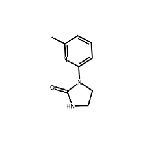 O=C1NCCN1c1cccc(I)n1